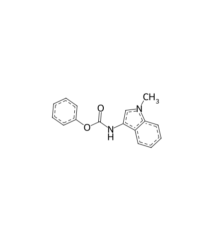 Cn1cc(NC(=O)Oc2ccccc2)c2ccccc21